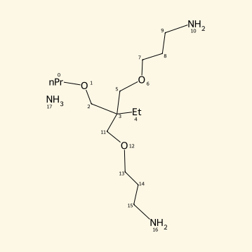 CCCOCC(CC)(COCCCN)COCCCN.N